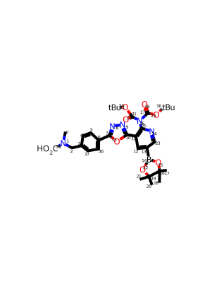 CN(Cc1ccc(-c2nnc(-c3cc(B4OC(C)(C)C(C)(C)O4)cnc3N(C(=O)OC(C)(C)C)C(=O)OC(C)(C)C)o2)cc1)C(=O)O